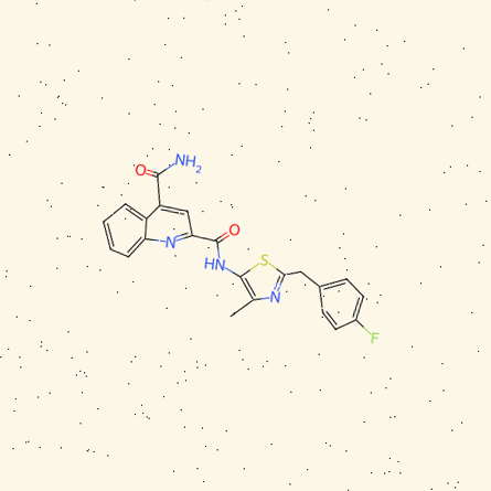 Cc1nc(Cc2ccc(F)cc2)sc1NC(=O)c1cc(C(N)=O)c2ccccc2n1